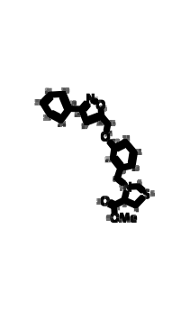 COC(=O)C1CSCN1Cc1cccc(OCc2cc(-c3ccccc3)no2)c1